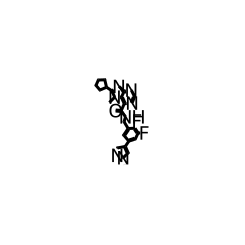 Cn1cc(-c2cc(F)c(F)c(CNC(=O)c3ncnc4nc(C5CCCC5)n(C)c34)c2)cn1